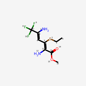 CCSC(/C=C(\N)C(F)(F)F)=C(/N)C(=O)OC